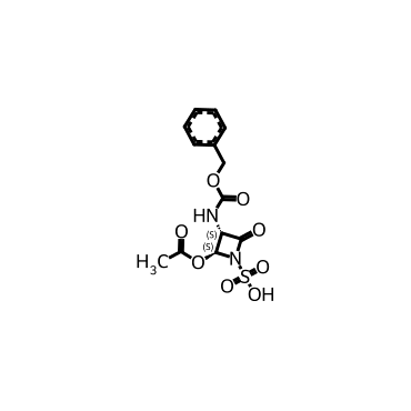 CC(=O)O[C@H]1[C@H](NC(=O)OCc2ccccc2)C(=O)N1S(=O)(=O)O